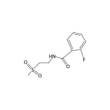 CS(=O)(=O)CCNC(=O)c1ccccc1F